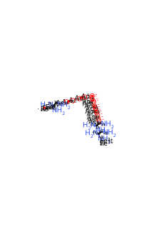 CC(=O)[O-].CC(=O)[O-].CC(=O)[O-].CC(=O)[O-].CC(=O)[O-].CC(=O)[O-].CC(=O)[O-].CC(=O)[O-].CC(=O)[O-].CC(=O)[O-].CC(=O)[O-].CC(=O)[O-].CC(=O)[O-].CC(=O)[O-].CC(=O)[O-].NCC(N)N.NCC(N)N.NCC(N)N.[Fe+3].[Fe+3].[Fe+3].[Fe+3].[Fe+3]